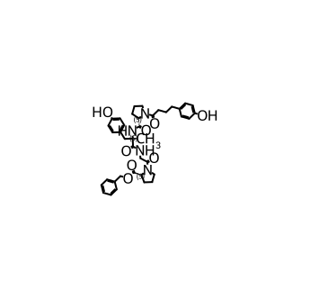 C[C@@](Cc1ccc(O)cc1)(NC(=O)[C@@H]1CCCN1C(=O)CCCc1ccc(O)cc1)C(=O)NCC(=O)N1CCC[C@H]1C(=O)OCc1ccccc1